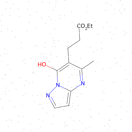 CCOC(=O)CCc1c(C)nc2ccnn2c1O